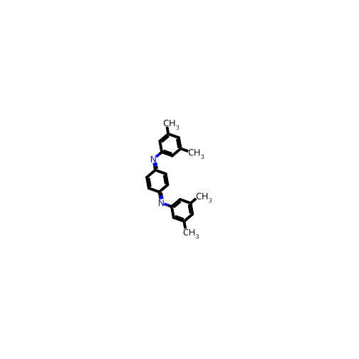 Cc1cc(C)cc(N=C2C=CC(=Nc3cc(C)cc(C)c3)C=C2)c1